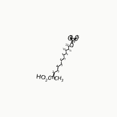 CC(=CCCCCCCCCCCOP(=O)=O)C(=O)O